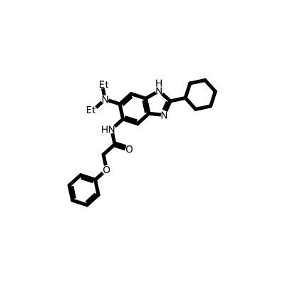 CCN(CC)c1cc2[nH]c(C3CCCCC3)nc2cc1NC(=O)COc1ccccc1